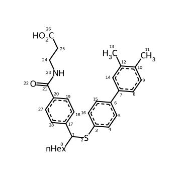 CCCCCCC(Sc1ccc(-c2ccc(C)c(C)c2)cc1)c1ccc(C(=O)NCCC(=O)O)cc1